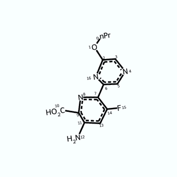 CCCOc1cncc(-c2nc(C(=O)O)c(N)cc2F)n1